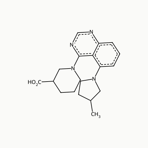 CC1CCN(c2cccc3ncnc(N4CCCC(C(=O)O)C4)c23)C1